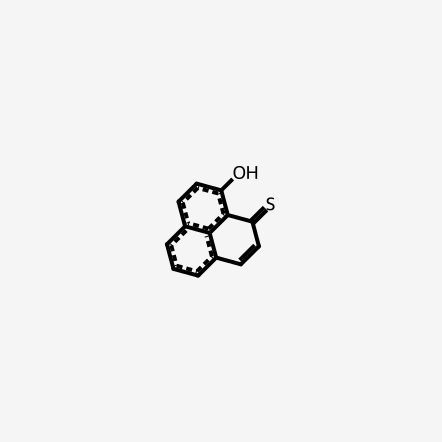 Oc1ccc2cccc3c2c1C(=S)C=C3